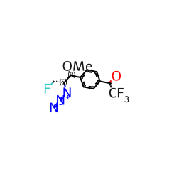 CO[C@H](c1ccc(C(=O)C(F)(F)F)cc1)[C@@H](CF)N=[N+]=[N-]